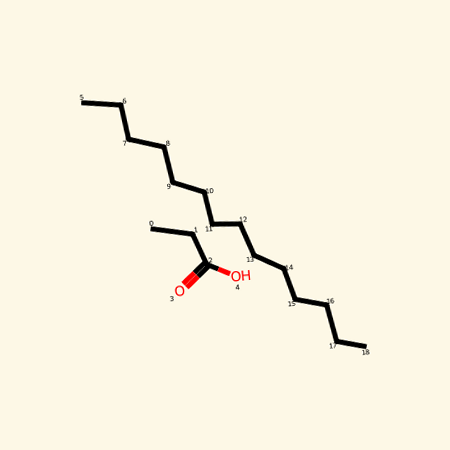 CCC(=O)O.CCCCCCCCCCCCCC